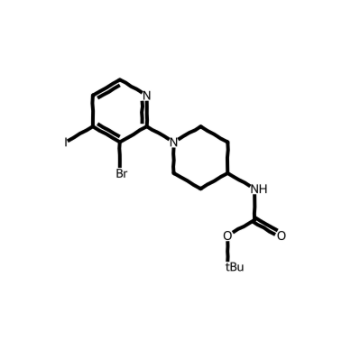 CC(C)(C)OC(=O)NC1CCN(c2nccc(I)c2Br)CC1